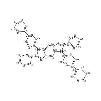 c1ccc(-c2ccc(-n3c(-c4ccccc4)cc4cc5c(cc(-c6ccccc6)n5-c5ccc(-c6ccccc6)cc5)cc43)cc2)cc1